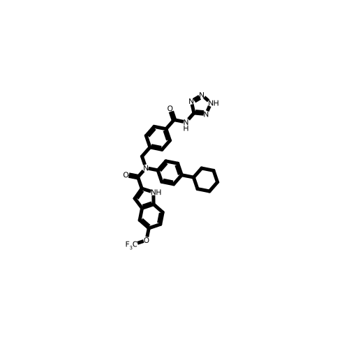 O=C(Nc1nn[nH]n1)c1ccc(CN(C(=O)c2cc3cc(OC(F)(F)F)ccc3[nH]2)c2ccc(C3CCCCC3)cc2)cc1